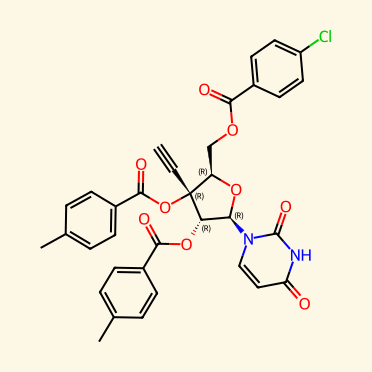 C#C[C@@]1(OC(=O)c2ccc(C)cc2)[C@@H](COC(=O)c2ccc(Cl)cc2)O[C@@H](n2ccc(=O)[nH]c2=O)[C@@H]1OC(=O)c1ccc(C)cc1